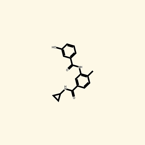 Cc1ccc(C(=O)NC2CC2)cc1NC(=O)c1cccc(O)c1